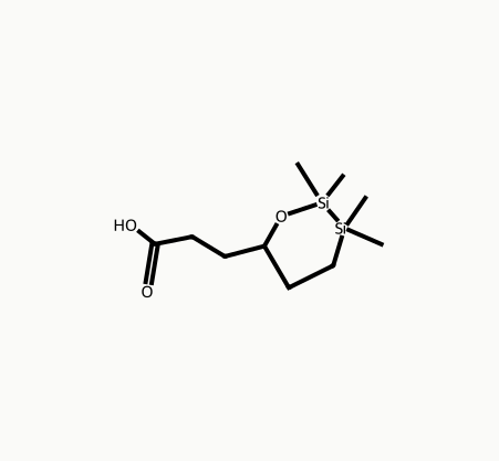 C[Si]1(C)CCC(CCC(=O)O)O[Si]1(C)C